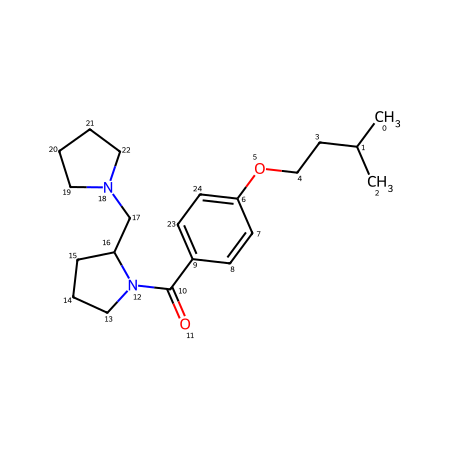 CC(C)CCOc1ccc(C(=O)N2CCCC2CN2CCCC2)cc1